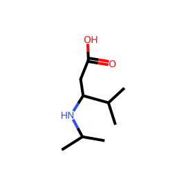 CC(C)NC(CC(=O)O)C(C)C